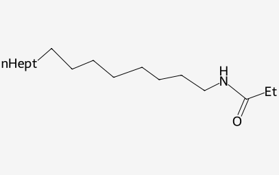 CCCCCCCCCCCCCCCNC(=O)CC